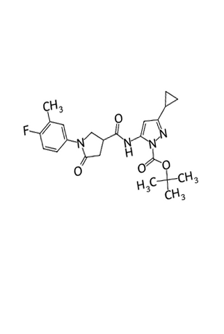 Cc1cc(N2CC(C(=O)Nc3cc(C4CC4)nn3C(=O)OC(C)(C)C)CC2=O)ccc1F